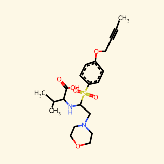 CC#CCOc1ccc(S(=O)(=O)C(CN2CCOCC2)NC(C(=O)O)C(C)C)cc1